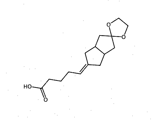 O=C(O)CCCC=C1CC2CC3(CC2C1)OCCO3